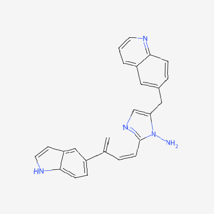 C=C(/C=C\c1ncc(Cc2ccc3ncccc3c2)n1N)c1ccc2[nH]ccc2c1